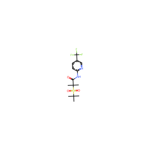 CC(C)(C)S(=O)(=O)C(C)(C)C(=O)Nc1ccc(C(F)(F)F)cn1